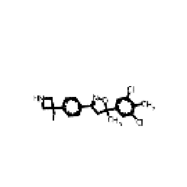 Cc1c(Cl)cc(C2(C)CC(c3ccc(C4(F)CNC4)cc3)=NO2)cc1Cl